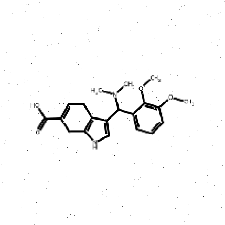 COc1cccc(C(c2c[nH]c3c2CC=C(C(=O)O)C3)N(C)C)c1OC